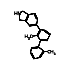 Cc1ccccc1-c1cccc(-c2ccc3c(c2)CNC3)c1C